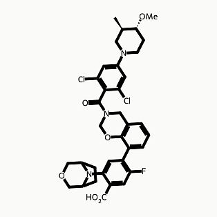 CO[C@@H]1CCN(c2cc(Cl)c(C(=O)N3COc4c(cccc4-c4cc(N5C6CCC5COC6)c(C(=O)O)cc4F)C3)c(Cl)c2)C[C@H]1C